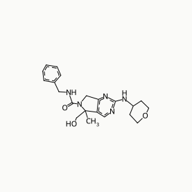 CC1(CO)c2cnc(NC3CCOCC3)nc2CN1C(=O)NCc1ccccc1